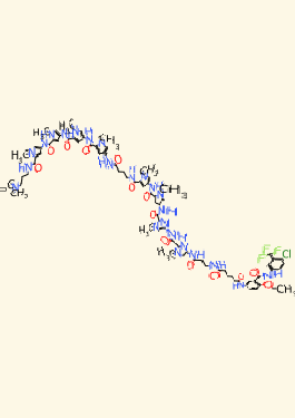 CCOc1ccc(NC(=O)CCCCC(=O)NCCC(=O)Nc2cn(C)c(C(=O)Nc3cn(C)c(C(=O)Nc4cc(C(=O)Nc5cc(C(=O)NCCCC(=O)Nc6cc(C(=O)Nc7cc(C(=O)Nc8cc(C(=O)Nc9cc(C(=O)NCCCN(C)C)n(C)c9)n(C)c8)n(C)c7)n(C)c6)n(C)c5)n(C)c4)n3)n2)cc1C(=O)Nc1ccc(Cl)c(C(F)(F)F)c1